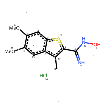 COc1cc2sc(C(=N)NO)c(C)c2cc1OC.Cl